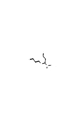 CN(C)C(CCN)NCCCN